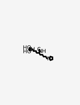 CNC(CCCCCN1CCCC1)CCCCB(O)O